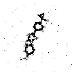 NC1(c2ccc(-c3nc4sc5cc(C=O)ccc5n4n3)cc2)CC1